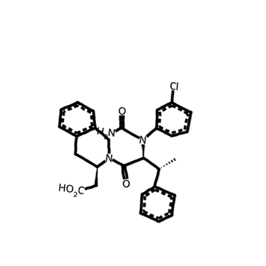 C[C@H](c1ccccc1)[C@@H](C(=O)N1Cc2ccccc2C[C@@H]1CC(=O)O)N(C(N)=O)c1cccc(Cl)c1